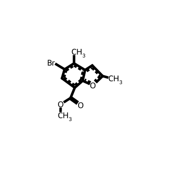 COC(=O)c1cc(Br)c(C)c2cc(C)oc12